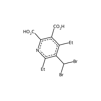 CCc1nc(C(=O)O)c(C(=O)O)c(CC)c1C(Br)Br